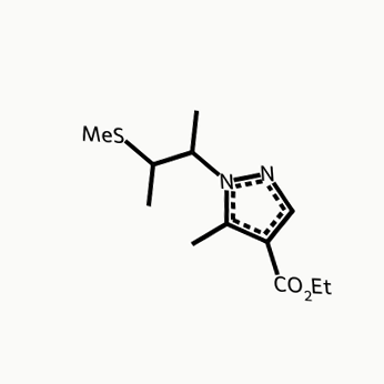 CCOC(=O)c1cnn(C(C)C(C)SC)c1C